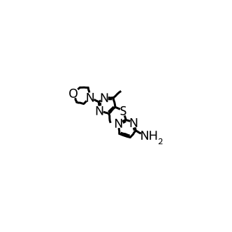 Cc1nc(N2CCOCC2)nc(C)c1Sc1nccc(N)n1